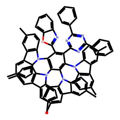 Cc1ccc2c(c1)c1cc(C)ccc1n2-c1c(-c2nc(-c3ccccc3)nc(-c3ccccc3)n2)c(-c2nc3ccccc3o2)c(-n2c3ccc(C)cc3c3cc(C)ccc32)c(-n2c3ccc(C)cc3c3cc(C)ccc32)c1-n1c2ccc(C)cc2c2cc(C)ccc21